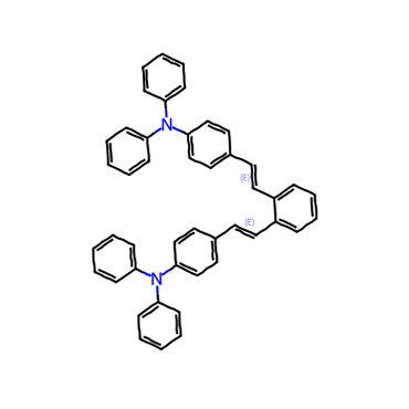 C(=C\c1ccccc1/C=C/c1ccc(N(c2ccccc2)c2ccccc2)cc1)/c1ccc(N(c2ccccc2)c2ccccc2)cc1